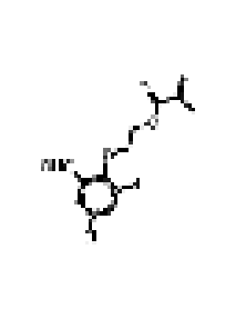 C=C(C)C(=O)OCCOc1c(I)cc(Cl)cc1C=O